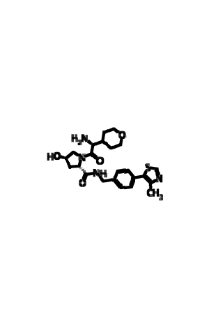 Cc1ncsc1-c1ccc(CNC(=O)[C@@H]2C[C@@H](O)CN2C(=O)[C@@H](N)C2CCOCC2)cc1